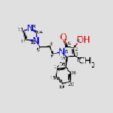 CC1=C(O)C(=O)N(CCCn2ccnc2)C1c1ccccc1